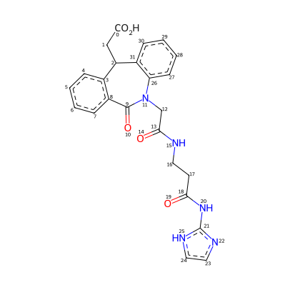 O=C(O)CC1c2ccccc2C(=O)N(CC(=O)NCCC(=O)Nc2ncc[nH]2)c2ccccc21